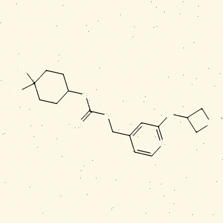 CC1(C)CCC(NC(=O)NCc2ccnc(OC3COC3)c2)CC1